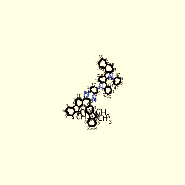 CC1(C)c2ccccc2-c2ccc(-c3nc4ccc(-n5c6ccccc6c6c5ccc5c7c8ccccc8ccc7n(-c7ccccc7)c56)cc4nc3-c3ccc4c(c3)C(C)(C)c3ccccc3-4)cc21